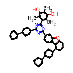 Bc1c(O)c(B)c(-c2nc(-c3ccc(-c4ccccc4)cc3)nc(-c3ccc4c(c3)oc3cccc(-c5ccc(-c6ccccc6)cc5)c34)n2)c(B)c1O